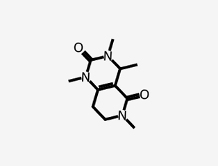 CC1C2=C(CCN(C)C2=O)N(C)C(=O)N1C